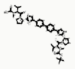 CC(C)[C@@H](C(=O)N1CCC[C@H]1c1ncc(-c2ccc(-c3ccc(-c4c[nH]c([C@@H]5CCCN5C(=O)[C@H](C(C)C)N(C)C(=O)OC(C)(C)C)n4)cc3)cc2)[nH]1)N(C)C(=O)O